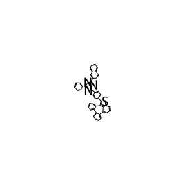 c1ccc(-c2nc(-c3ccc(-c4sc5cccc6c5c4-c4ccccc4-c4ccccc4-6)cc3)nc(-c3ccc4ccccc4c3)n2)cc1